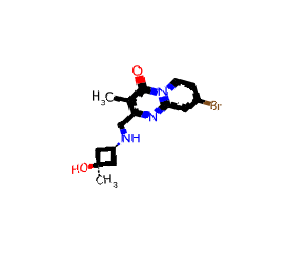 Cc1c(CN[C@H]2C[C@](C)(O)C2)nc2cc(Br)ccn2c1=O